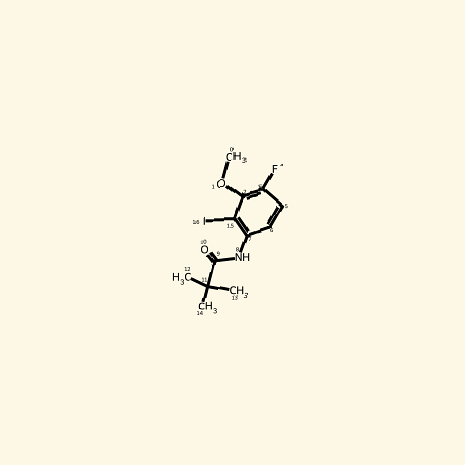 COc1c(F)ccc(NC(=O)C(C)(C)C)c1I